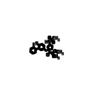 CON(C)C(=O)[C@@]1(Cc2ccc(F)c(-c3ccccc3F)c2)CC[C@H](NS(C)(=O)=O)C1